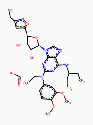 CCc1cc([C@H]2O[C@@H](n3cnc4c(NC(CC)CC)nc(N(CC)c5ccc(OC)c(OC)c5)nc43)[C@H](O)[C@@H]2O)on1.O=CO